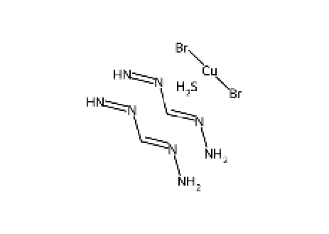 N=NC=NN.N=NC=NN.S.[Br][Cu][Br]